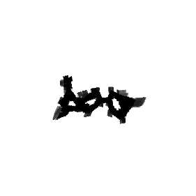 Brc1csc2cc(-c3ccccc3)sc12